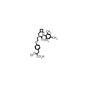 CCOC(Cc1ccc(OCCN(CC2CCC2)C(=O)Nc2c(C)cc(C)cc2C)cc1)C(=O)O